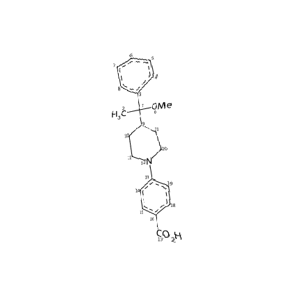 COC(C)(c1ccccc1)C1CCN(c2ccc(C(=O)O)cc2)CC1